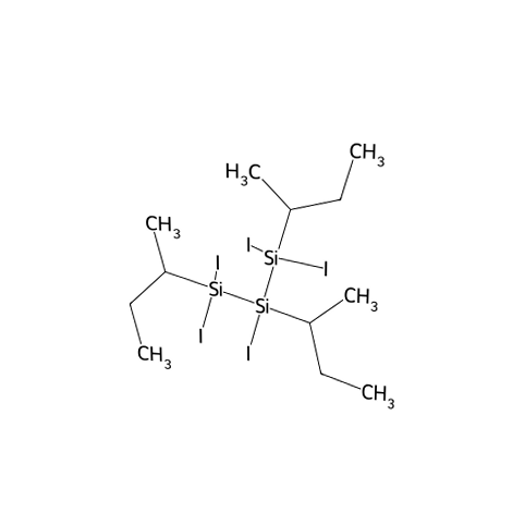 CCC(C)[Si](I)(I)[Si](I)(C(C)CC)[Si](I)(I)C(C)CC